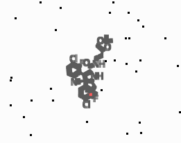 CC(C)(C)C[C@@H]1N[C@@H](C(=O)NCC[C@H]2COC(C)(C)O2)[C@H](c2cccc(Cl)c2F)[C@@]1(C#N)c1ccc(Cl)c(F)c1